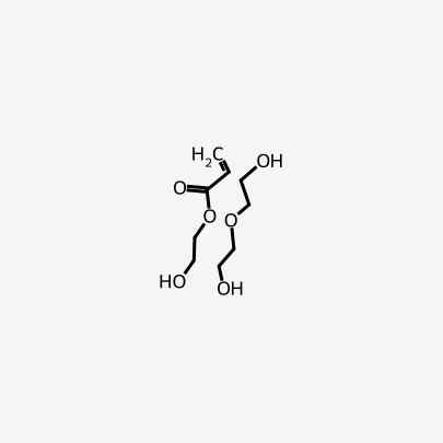 C=CC(=O)OCCO.OCCOCCO